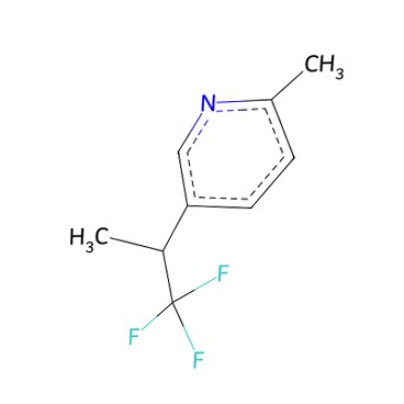 Cc1ccc(C(C)C(F)(F)F)cn1